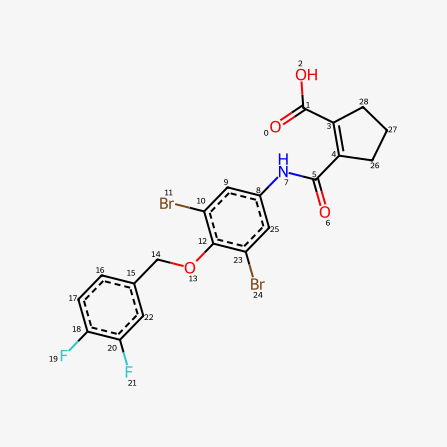 O=C(O)C1=C(C(=O)Nc2cc(Br)c(OCc3ccc(F)c(F)c3)c(Br)c2)CCC1